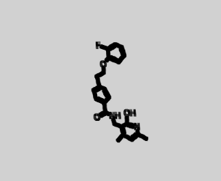 Cc1cc(C)c(CNC(=O)c2ccc(CCOc3ccccc3F)cc2)c(O)n1